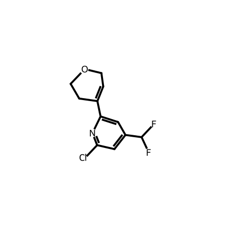 FC(F)c1cc(Cl)nc(C2=CCOCC2)c1